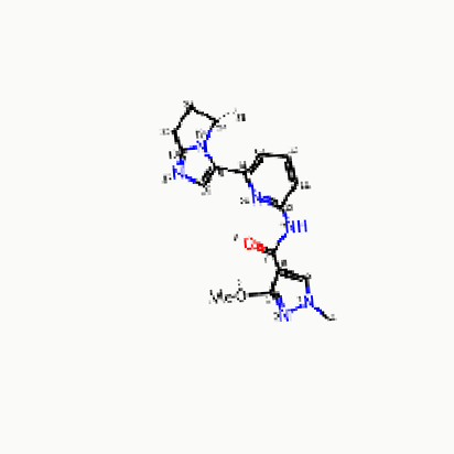 COc1nn(C)cc1C(=O)Nc1cccc(-c2cnc3n2[C@@H](C)CC3)n1